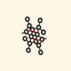 Ic1cc2c3c(c1)-c1cc(-c4c(-c5ccccc5)cc(-c5ccccc5)cc4-c4ccccc4)c4cc5c6c(cc(-c7c(-c8ccccc8)cc(-c8ccccc8)cc7-c7ccccc7)c7cc(c1c4c76)B3c1ccc(-c3ccccc3)cc1-2)-c1cc(I)cc2c1B5c1ccc(-c3ccccc3)cc1-2